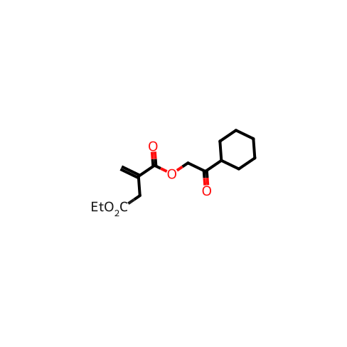 C=C(CC(=O)OCC)C(=O)OCC(=O)C1CCCCC1